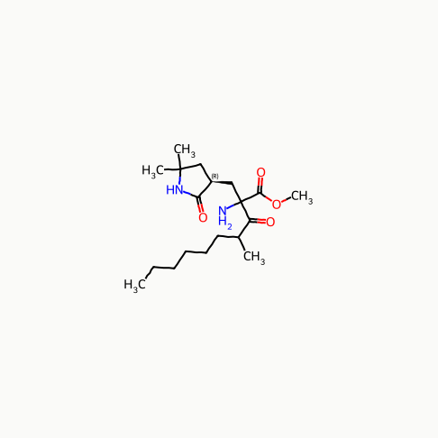 CCCCCCC(C)C(=O)C(N)(C[C@@H]1CC(C)(C)NC1=O)C(=O)OC